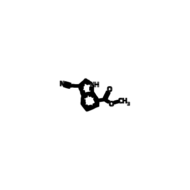 COC(=O)c1cccc2c(C#N)c[nH]c12